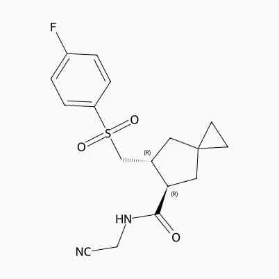 N#CCNC(=O)[C@@H]1CC2(CC2)C[C@H]1CS(=O)(=O)c1ccc(F)cc1